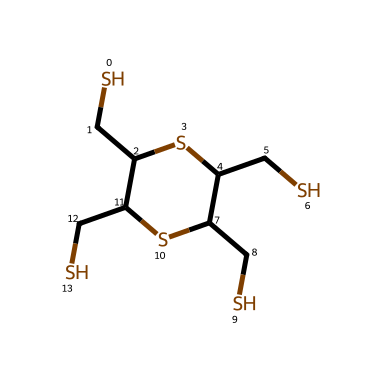 SCC1SC(CS)C(CS)SC1CS